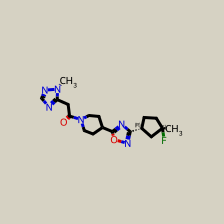 Cn1ncnc1CC(=O)N1CCC(c2nc([C@@H]3CC[C@](C)(F)C3)no2)CC1